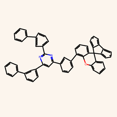 c1ccc(-c2cccc(-c3cc(-c4cccc(-c5cccc6c5Oc5ccccc5C65c6ccccc6-c6ccccc65)c4)nc(-c4cccc(-c5ccccc5)c4)n3)c2)cc1